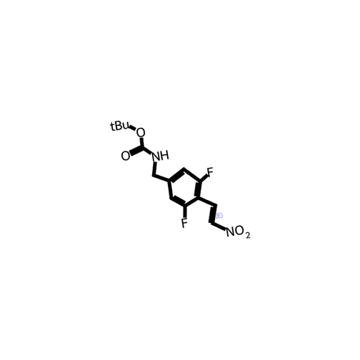 CC(C)(C)OC(=O)NCc1cc(F)c(/C=C/[N+](=O)[O-])c(F)c1